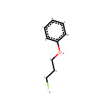 FCCCOc1[c]cccc1